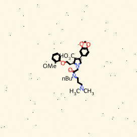 CCCCN(CCCN(C)C)C(=O)CN1C[C@H](c2ccc3c(c2)OCO3)[C@@H](C(=O)O)[C@@H]1CCOc1ccccc1OC